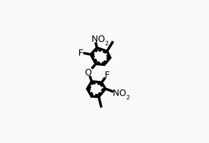 Cc1ccc(Oc2ccc(C)c([N+](=O)[O-])c2F)c(F)c1[N+](=O)[O-]